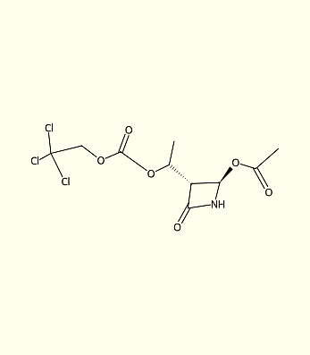 CC(=O)O[C@H]1NC(=O)[C@@H]1C(C)OC(=O)OCC(Cl)(Cl)Cl